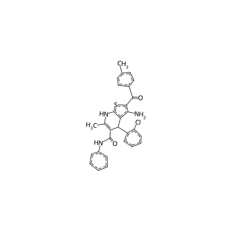 CC1=C(C(=O)Nc2ccccc2)C(c2ccccc2Cl)c2c(sc(C(=O)c3ccc(C)cc3)c2N)N1